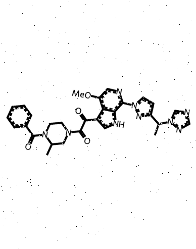 COc1cnc(-n2ccc(C(C)n3cncn3)n2)c2[nH]cc(C(=O)C(=O)N3CCN(C(=O)c4ccccc4)C(C)C3)c12